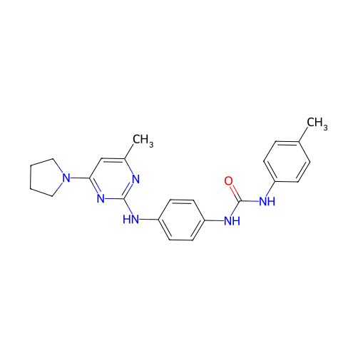 Cc1ccc(NC(=O)Nc2ccc(Nc3nc(C)cc(N4CCCC4)n3)cc2)cc1